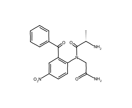 C[C@H](N)C(=O)N(CC(N)=O)c1ccc([N+](=O)[O-])cc1C(=O)c1ccccc1